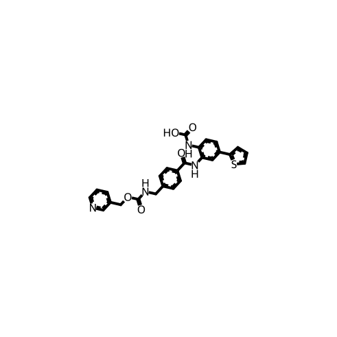 O=C(O)Nc1ccc(-c2cccs2)cc1NC(=O)c1ccc(CNC(=O)OCc2cccnc2)cc1